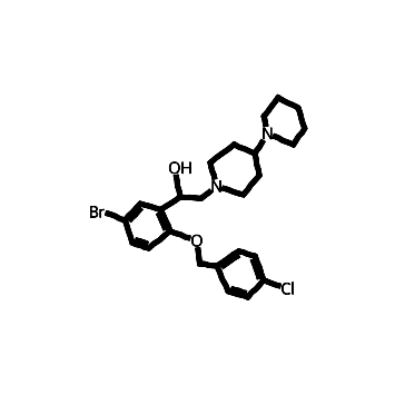 OC(CN1CCC(N2CCCCC2)CC1)c1cc(Br)ccc1OCc1ccc(Cl)cc1